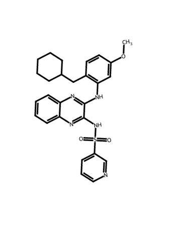 COc1ccc(CC2CCCCC2)c(Nc2nc3ccccc3nc2NS(=O)(=O)c2cccnc2)c1